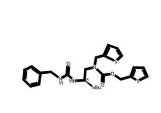 CCCC[C@H](CN(Cc1cccs1)C(=O)OCc1cccs1)NC(=O)NCc1ccccc1